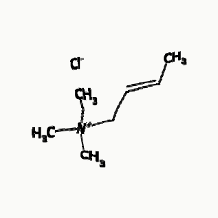 CC=CC[N+](C)(C)C.[Cl-]